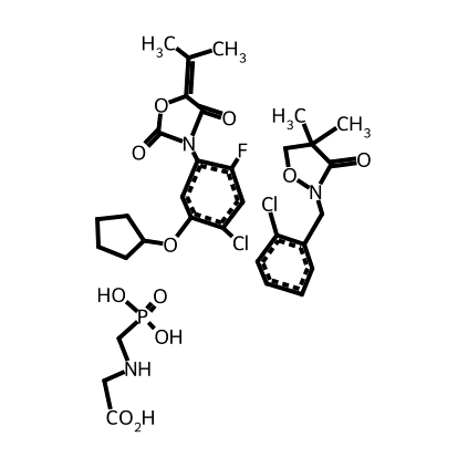 CC(C)=C1OC(=O)N(c2cc(OC3CCCC3)c(Cl)cc2F)C1=O.CC1(C)CON(Cc2ccccc2Cl)C1=O.O=C(O)CNCP(=O)(O)O